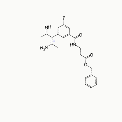 CC(=N)/C(=C(/C)N)c1cc(F)cc(C(=O)NCCC(=O)OCc2ccccc2)c1